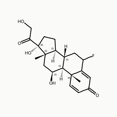 C[C@]12C=CC(=O)C=C1C(F)C[C@@H]1[C@@H]2[C@@H](O)C[C@@]2(C)[C@H]1CC[C@]2(O)C(=O)CO